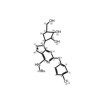 CCCCNc1nc(Sc2ccc(C(F)(F)F)cc2)nc2c1nnn2C1CC(CO)[C@@H](O)C1O